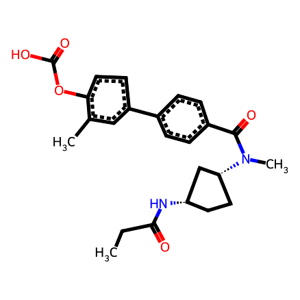 CCC(=O)N[C@H]1CC[C@@H](N(C)C(=O)c2ccc(-c3ccc(OC(=O)O)c(C)c3)cc2)C1